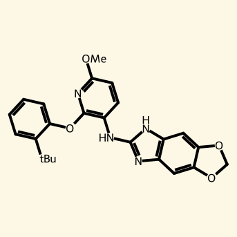 COc1ccc(Nc2nc3cc4c(cc3[nH]2)OCO4)c(Oc2ccccc2C(C)(C)C)n1